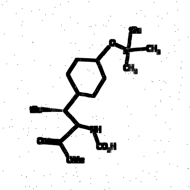 COC(=O)C(NC(=O)O)[C@@H](C1CCC(O[Si](C)(C)C(C)(C)C)CC1)C(C)(C)C